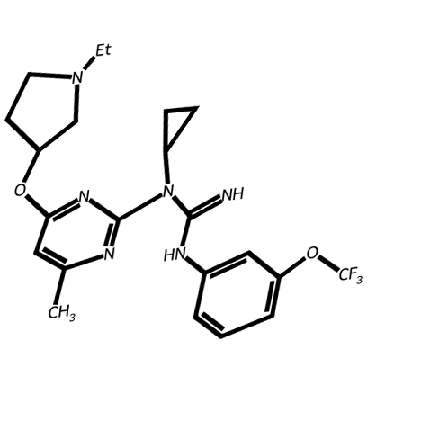 CCN1CCC(Oc2cc(C)nc(N(C(=N)Nc3cccc(OC(F)(F)F)c3)C3CC3)n2)C1